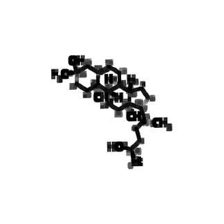 CC[C@@H](O)CC[C@@H](C)[C@H]1CC[C@H]2[C@@H]3CC=C4C[C@](O)(C(F)(F)F)CC[C@]4(C)[C@H]3CC[C@]12C